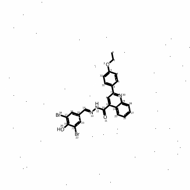 CCOc1ccc(-c2cc(C(=O)NN=Cc3cc(Br)c(O)c(Br)c3)c3ccccc3n2)cc1